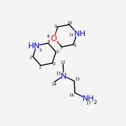 C1CCNCC1.C1COCCN1.CN(C)CCN